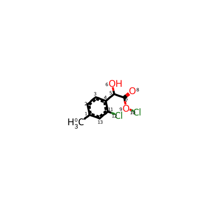 Cc1ccc(C(O)C(=O)OCl)c(Cl)c1